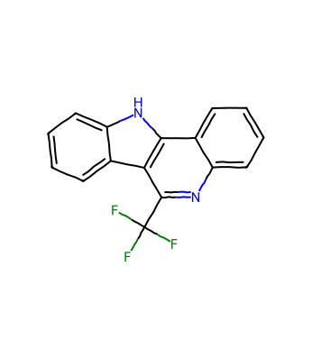 FC(F)(F)c1nc2ccccc2c2[nH]c3ccccc3c12